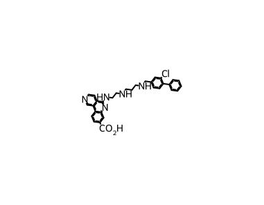 O=C(O)c1ccc2c(c1)nc(NCCNCCCNCc1ccc(-c3ccccc3)c(Cl)c1)c1ccncc12